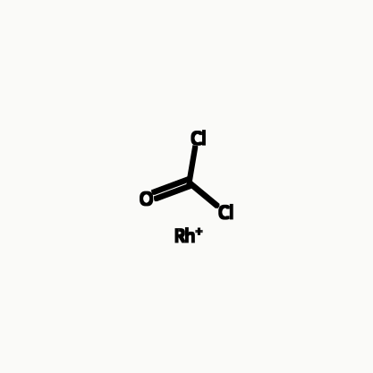 O=C(Cl)Cl.[Rh+]